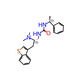 C[C@H](NC(=O)NC[C@H](Cc1csc2ccccc12)N(C)C)c1ccccc1